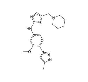 COc1cc(Nc2ncc(CN3CCCCC3)s2)ccc1-n1cnc(C)c1